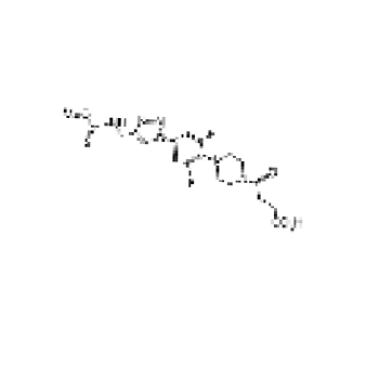 COC(=S)NCc1cn(-c2cc(F)c(N3CCN(C(=O)CCC(=O)O)CC3)c(F)c2)nn1